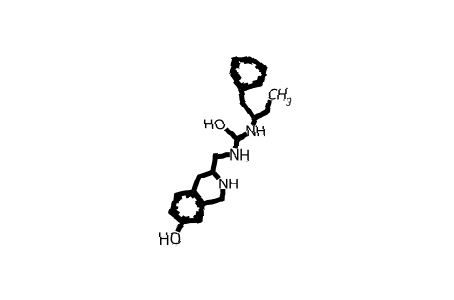 CCC(Cc1ccccc1)NC(O)NCC1Cc2ccc(O)cc2CN1